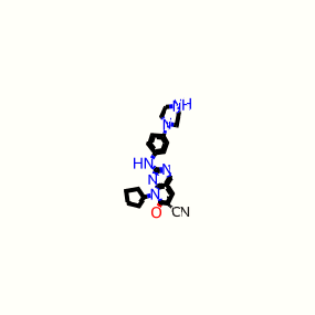 N#Cc1cc2cnc(Nc3ccc(N4CCNCC4)cc3)nc2n(C2CCCC2)c1=O